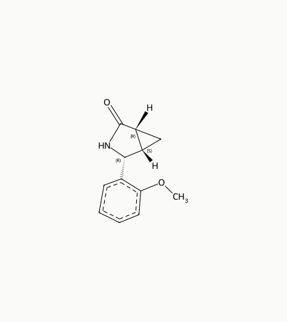 COc1ccccc1[C@@H]1NC(=O)[C@@H]2C[C@@H]21